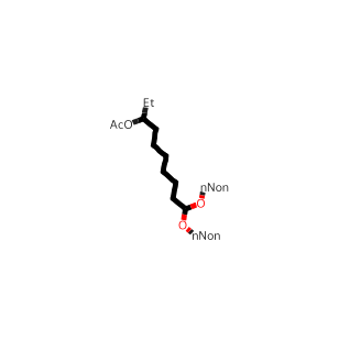 CCCCCCCCCOC(CCCCCCC(CC)OC(C)=O)OCCCCCCCCC